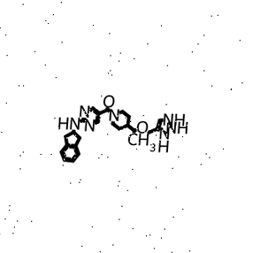 CC(OCC1=CNNN1)C1CCN(C(=O)c2cnc(NC3Cc4ccccc4C3)nc2)CC1